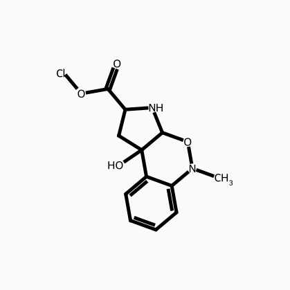 CN1OC2NC(C(=O)OCl)CC2(O)c2ccccc21